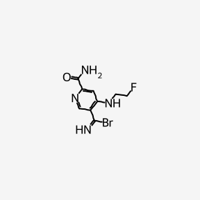 N=C(Br)c1cnc(C(N)=O)cc1NCCF